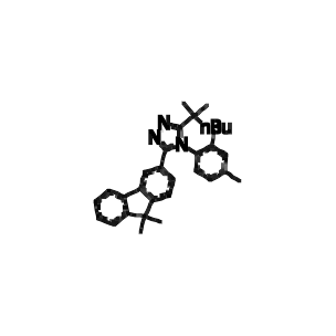 CCCCC(C)(C)c1nnc(-c2ccc3c(c2)-c2ccccc2C3(C)C)n1-c1ccc(C)cc1C